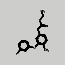 CCOC(=O)Cc1ccc(C)c(Oc2cccc(F)c2)c1